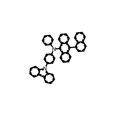 c1ccc(N(c2ccc(-n3c4ccccc4c4ccccc43)cc2)c2c3ccccc3c(-c3cccc4ccccc34)c3ccccc23)cc1